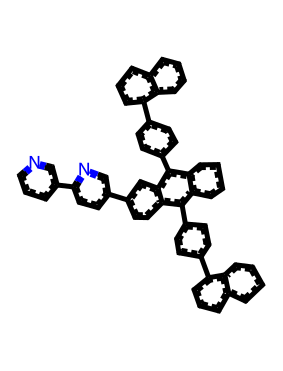 c1cncc(-c2ccc(-c3ccc4c(-c5ccc(-c6cccc7ccccc67)cc5)c5ccccc5c(-c5ccc(-c6cccc7ccccc67)cc5)c4c3)cn2)c1